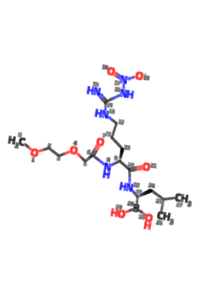 COCCOCC(=O)N[C@@H](CCCNC(=N)N[N+](=O)[O-])C(=O)N[C@@H](CC(C)C)B(O)O